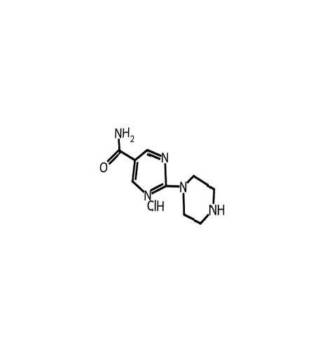 Cl.NC(=O)c1cnc(N2CCNCC2)nc1